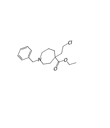 CCOC(=O)C1(CCCl)CCCN(Cc2ccccc2)CC1